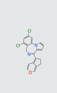 Clc1cc(Cl)c2c(c1)-n1cccc1C(C1=C3C=COC=C3CC1)=NC2